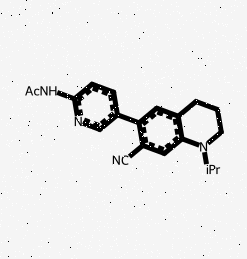 CC(=O)Nc1ccc(-c2cc3c(cc2C#N)N(C(C)C)CCC3)cn1